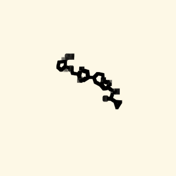 O=C(Nc1cc2n(n1)CCC(c1cnc(CO[C@H]3CCC[C@@H]3O)nc1)C2)C1CC1